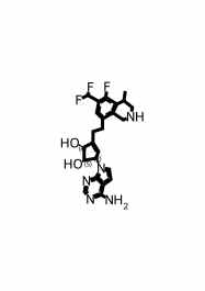 CC1CNCc2c(CCC3=C[C@@H](n4ccc5c(N)ncnc54)[C@H](O)[C@@H]3O)cc(C(F)F)c(F)c21